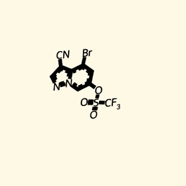 N#Cc1cnn2cc(OS(=O)(=O)C(F)(F)F)cc(Br)c12